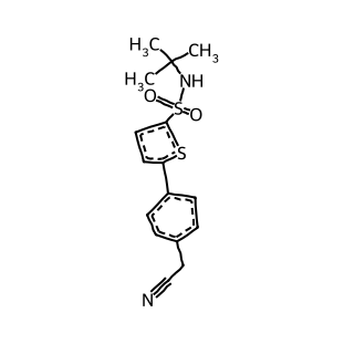 CC(C)(C)NS(=O)(=O)c1ccc(-c2ccc(CC#N)cc2)s1